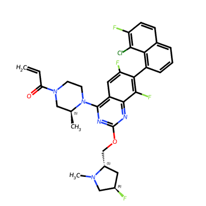 C=CC(=O)N1CCN(c2nc(OC[C@@H]3C[C@@H](F)CN3C)nc3c(F)c(-c4cccc5ccc(F)c(Cl)c45)c(F)cc23)[C@@H](C)C1